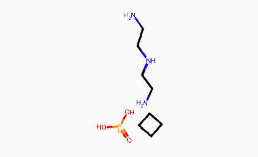 C1CCC1.NCCNCCN.O=[PH](O)O